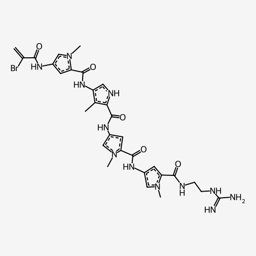 C=C(Br)C(=O)Nc1cc(C(=O)Nc2c[nH]c(C(=O)Nc3cc(C(=O)Nc4cc(C(=O)NCCNC(=N)N)n(C)c4)n(C)c3)c2C)n(C)c1